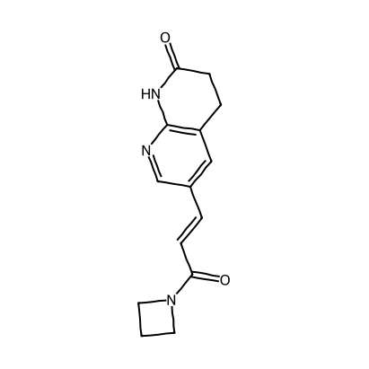 O=C1CCc2cc(C=CC(=O)N3CCC3)cnc2N1